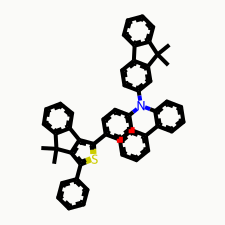 CC1(C)c2ccccc2-c2ccc(N(c3ccc(-c4sc(-c5ccccc5)c5c4-c4ccccc4C5(C)C)cc3)c3ccccc3-c3ccccc3)cc21